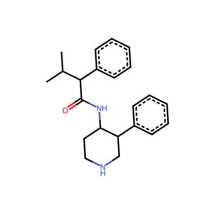 CC(C)C(C(=O)NC1CCNCC1c1ccccc1)c1ccccc1